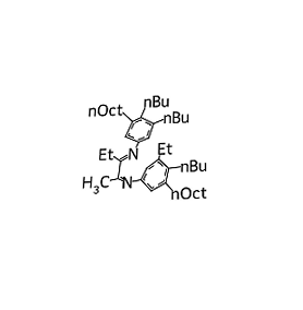 CCCCCCCCc1cc(N=C(C)C(CC)=Nc2cc(CCCC)c(CCCC)c(CCCCCCCC)c2)cc(CC)c1CCCC